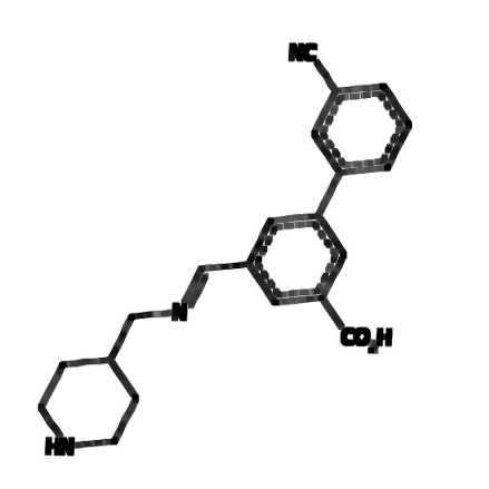 N#Cc1cccc(-c2cc(/C=N/CC3CCNCC3)cc(C(=O)O)c2)c1